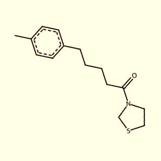 Cc1ccc(CCCCC(=O)N2CCSC2)cc1